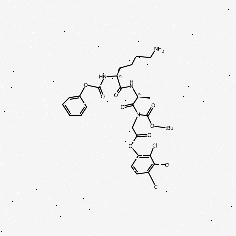 C[C@H](NC(=O)[C@H](CCCCN)NC(=O)Oc1ccccc1)C(=O)N(CC(=O)Oc1ccc(Cl)c(Cl)c1Cl)C(=O)OC(C)(C)C